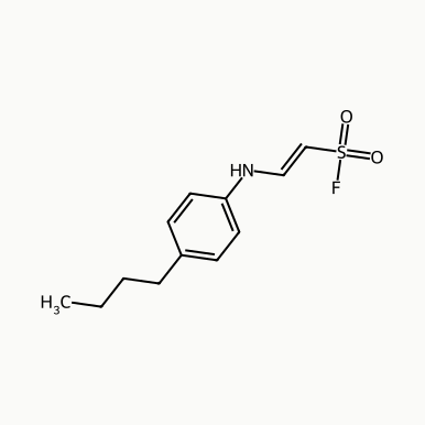 CCCCc1ccc(N/C=C/S(=O)(=O)F)cc1